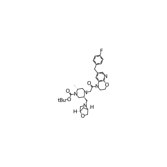 C[C@@H]1CN(CC(=O)N2CCOc3ncc(Cc4ccc(F)cc4)cc32)[C@@H](CN2C[C@H]3C[C@@H]2CO3)CN1C(=O)OC(C)(C)C